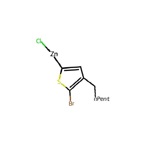 CCCCCCc1c[c]([Zn][Cl])sc1Br